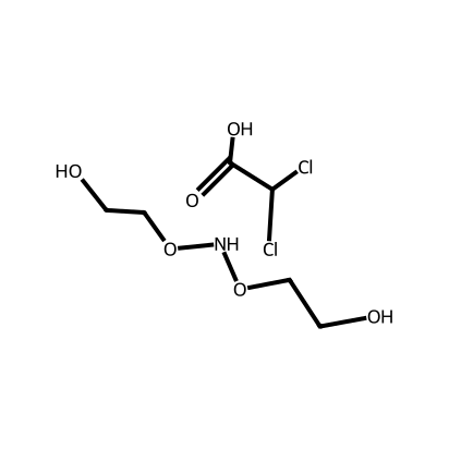 O=C(O)C(Cl)Cl.OCCONOCCO